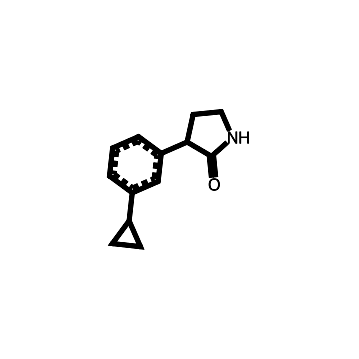 O=C1NCCC1c1cccc(C2CC2)c1